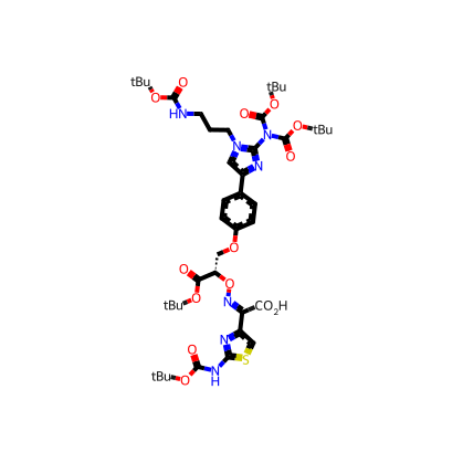 CC(C)(C)OC(=O)NCCCn1cc(-c2ccc(OC[C@H](O/N=C(\C(=O)O)c3csc(NC(=O)OC(C)(C)C)n3)C(=O)OC(C)(C)C)cc2)nc1N(C(=O)OC(C)(C)C)C(=O)OC(C)(C)C